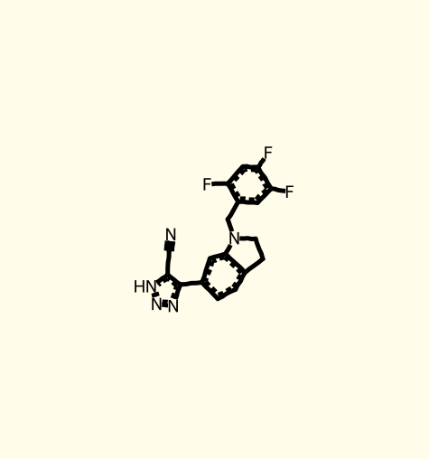 N#Cc1[nH]nnc1-c1ccc2c(c1)N(Cc1cc(F)c(F)cc1F)CC2